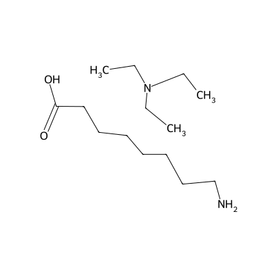 CCN(CC)CC.NCCCCCCCC(=O)O